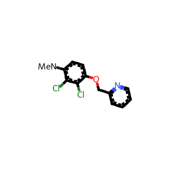 CNc1ccc(OCc2ccccn2)c(Cl)c1Cl